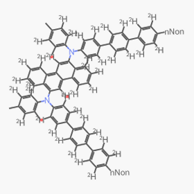 [2H]c1c([2H])c(N(c2c([2H])c([2H])c(-c3c([2H])c([2H])c(-c4c([2H])c([2H])c(CCCCCCCCC)c([2H])c4[2H])c([2H])c3[2H])c([2H])c2[2H])c2c([2H])c3c4c([2H])c([2H])c([2H])c([2H])c4c(N(c4c([2H])c([2H])c(-c5c([2H])c([2H])c(-c6c([2H])c([2H])c(CCCCCCCCC)c([2H])c6[2H])c([2H])c5[2H])c([2H])c4[2H])c4c([2H])c([2H])c(C)c([2H])c4C)c([2H])c3c3c([2H])c([2H])c([2H])c([2H])c23)c(C)c([2H])c1C